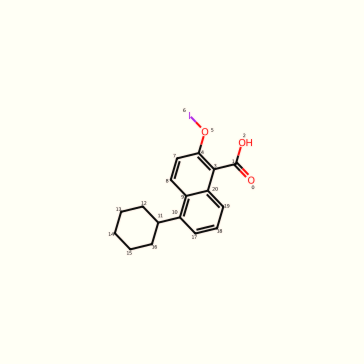 O=C(O)c1c(OI)ccc2c(C3CCCCC3)cccc12